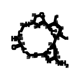 Cc1cc(C)c2cc1C1=N[C@@H](CCNC(=O)CCSc3cc-2nc(N)n3)CO1